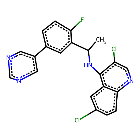 CC(Nc1c(Cl)cnc2ccc(Cl)cc12)c1cc(-c2cncnc2)ccc1F